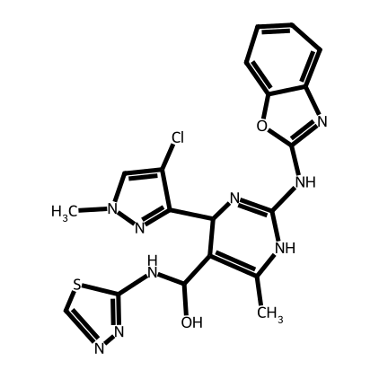 CC1=C(C(O)Nc2nncs2)C(c2nn(C)cc2Cl)N=C(Nc2nc3ccccc3o2)N1